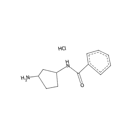 Cl.NC1CCC(NC(=O)c2ccccc2)C1